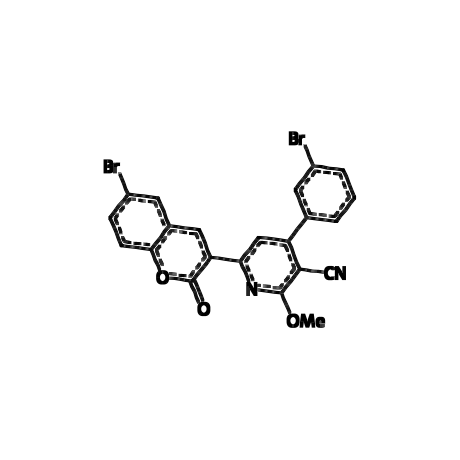 COc1nc(-c2cc3cc(Br)ccc3oc2=O)cc(-c2cccc(Br)c2)c1C#N